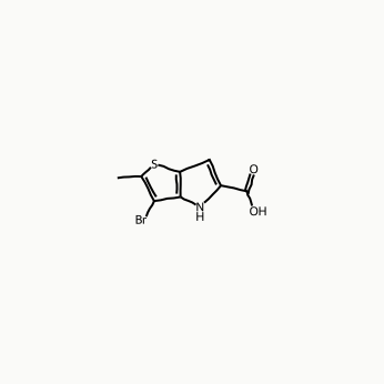 Cc1sc2cc(C(=O)O)[nH]c2c1Br